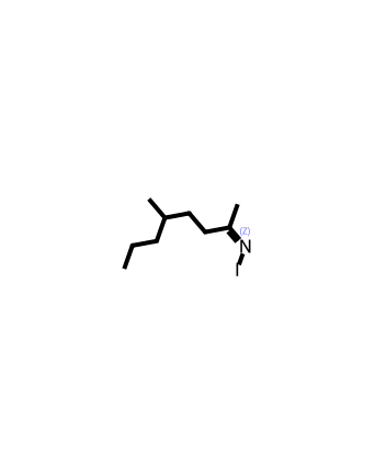 CCCC(C)CC/C(C)=N\I